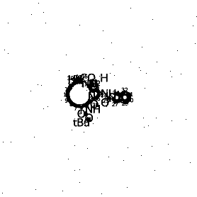 CC(C)(C)OC(=O)N[C@H]1CCCCCC=C[C@@H]2C[C@@]2(C(=O)O)NC(=O)[C@@H]2C[C@@H](NC(=O)N3Cc4ccccc4C3)CN2C1=O